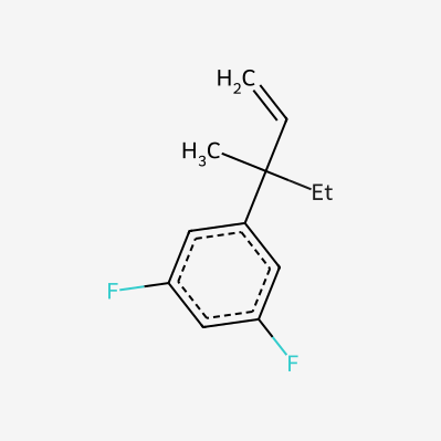 C=CC(C)(CC)c1cc(F)cc(F)c1